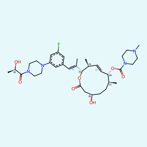 C/C(=C\c1cc(F)cc(N2CCN(C(=O)[C@@H](C)O)CC2)c1)[C@H]1OC(=O)C[C@H](O)CC[C@H](C)[C@@H](OC(=O)N2CCN(C)CC2)/C=C/[C@@H]1C